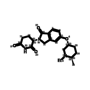 CCN1C[C@H](Oc2ccc3c(c2)CN([C@H]2CCC(=O)NC2=O)C3=O)CC[C@@H]1C